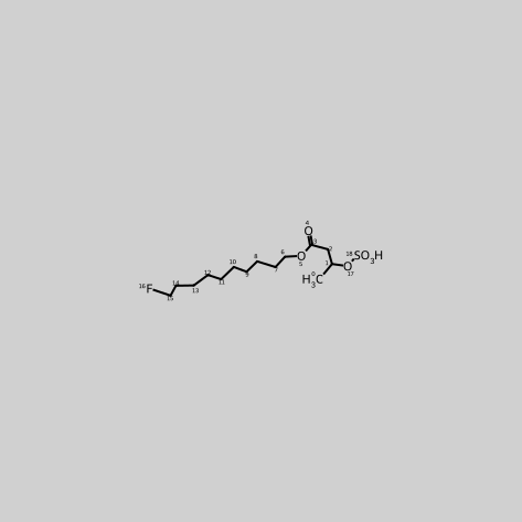 CC(CC(=O)OCCCCCCCCCCF)OS(=O)(=O)O